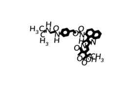 CC[C@@]1(O)C(=O)OCc2c1cc1n(c2=O)Cc2c-1nc1cccc3c1c2[C@@H](NC(=O)OCc1ccc(NC(=O)CNC(C)C)cc1)CC3